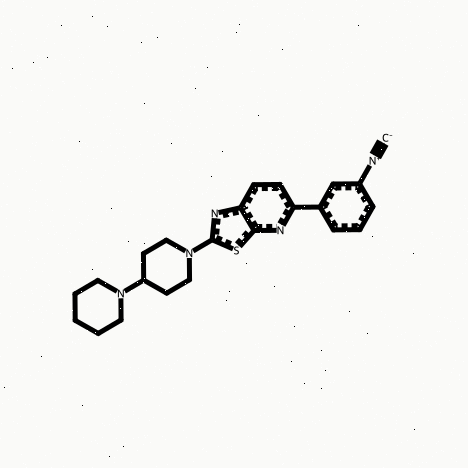 [C-]#[N+]c1cccc(-c2ccc3nc(N4CCC(N5CCCCC5)CC4)sc3n2)c1